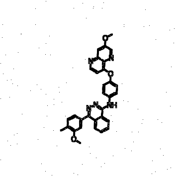 COc1cnc2c(Oc3ccc(Nc4nnc(-c5ccc(C)c(OC)c5)c5ccccc45)cc3)ccnc2c1